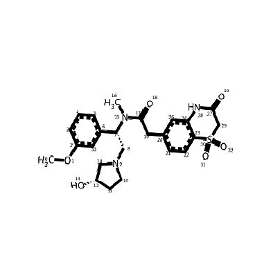 COc1cccc([C@@H](CN2CC[C@H](O)C2)N(C)C(=O)Cc2ccc3c(c2)NC(=O)CS3(=O)=O)c1